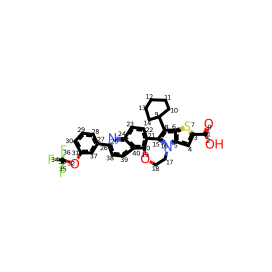 O=C(O)c1cc2c(s1)c(C1CCCCC1)c1n2CCOc2c-1ccc1nc(-c3cccc(OC(F)(F)F)c3)ccc21